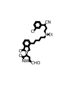 CCN(CCCCCc1cccc2c1CN(C(CCC=O)C(=O)NC)C2=O)CCC(C#N)c1cccc(Cl)c1